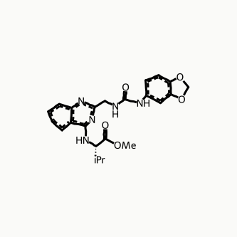 COC(=O)[C@@H](Nc1nc(CNC(=O)Nc2ccc3c(c2)OCO3)nc2ccccc12)C(C)C